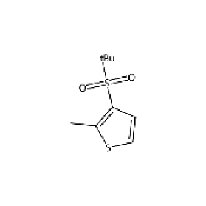 Cc1sccc1S(=O)(=O)C(C)(C)C